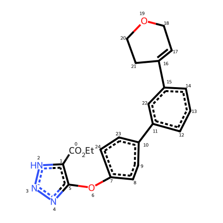 CCOC(=O)c1[nH]nnc1Oc1ccc(-c2cccc(C3=CCOCC3)c2)cc1